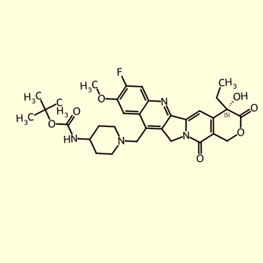 CC[C@@]1(O)C(=O)OCc2c1cc1n(c2=O)Cc2c-1nc1cc(F)c(OC)cc1c2CN1CCC(NC(=O)OC(C)(C)C)CC1